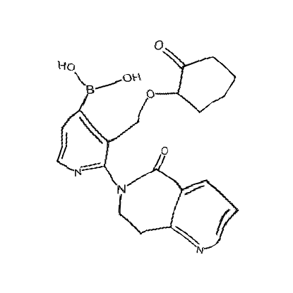 O=C1CCCCC1OCc1c(B(O)O)ccnc1N1CCc2ncccc2C1=O